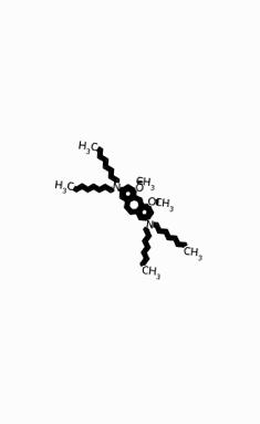 CCCCCCCCN(CCCCCCCC)c1cc2c(c(OC)c1)Cc1c(cc(N(CCCCCCCC)CCCCCCCC)cc1OC)CC2